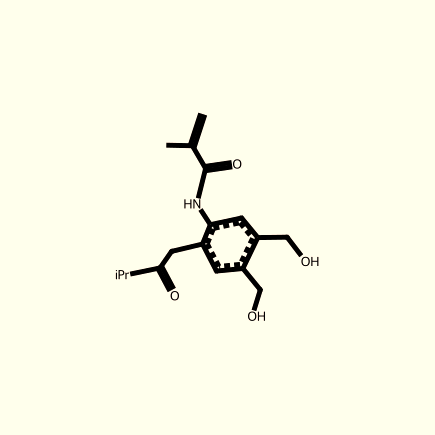 C=C(C)C(=O)Nc1cc(CO)c(CO)cc1CC(=O)C(C)C